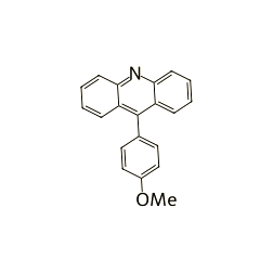 COc1ccc(-c2c3ccccc3nc3ccccc23)cc1